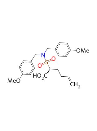 C=CCC[C@@H](C(=O)O)S(=O)(=O)N(Cc1ccc(OC)cc1)Cc1ccc(OC)cc1